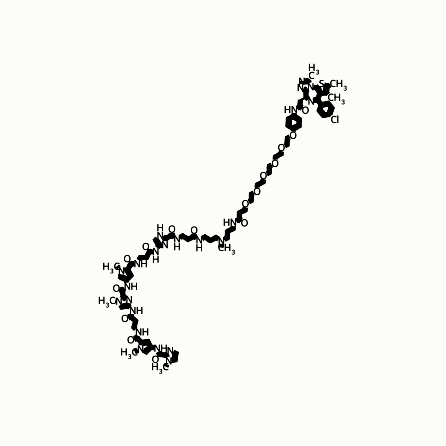 Cc1sc2c(c1C)C(c1ccc(Cl)cc1)=N[C@@H](CC(=O)Nc1ccc(OCCOCCOCCOCCOCCOCCC(=O)NCCCN(C)CCCNC(=O)CCNC(=O)c3nc(NC(=O)CCNC(=O)c4cc(NC(=O)c5nc(NC(=O)CCNC(=O)c6cc(NC(=O)c7nccn7C)cn6C)cn5C)cn4C)c[nH]3)cc1)c1nnc(C)n1-2